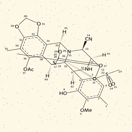 COc1c(C)cc2c(c1O)[C@@H]1N[C@H](C2)[C@H](C#N)N2C1[C@@H]1SC[C@H](OS(C)(=O)=O)C(=O)OC[C@H]2c2c3c(c(C)c(OC(C)=O)c21)OCO3